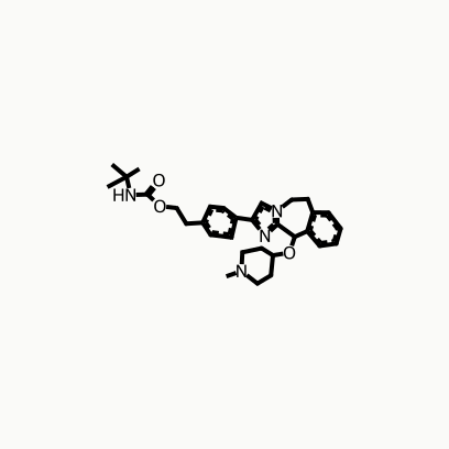 CN1CCC(OC2c3ccccc3CCn3cc(-c4ccc(CCOC(=O)NC(C)(C)C)cc4)nc32)CC1